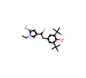 CCn1cc(C(=O)Cc2cc(C(C)(C)C)c(O)c(C(C)(C)C)c2)cc1Br